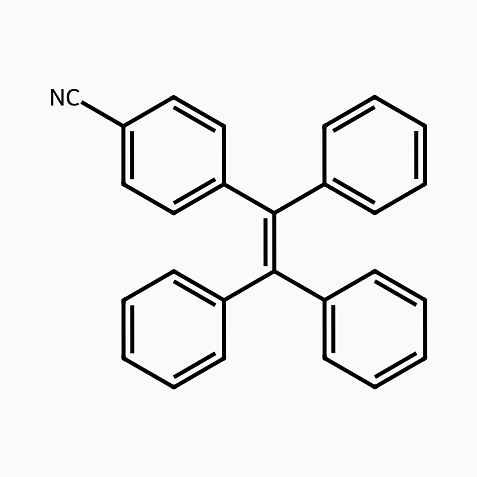 N#Cc1ccc(C(=C(c2ccccc2)c2ccccc2)c2ccccc2)cc1